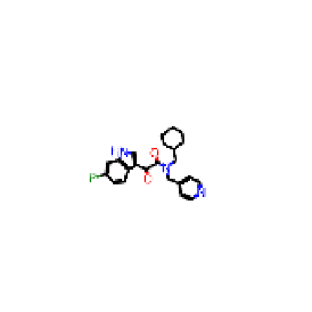 O=C(C(=O)N(Cc1ccncc1)CC1CCCCC1)c1c[nH]c2cc(F)ccc12